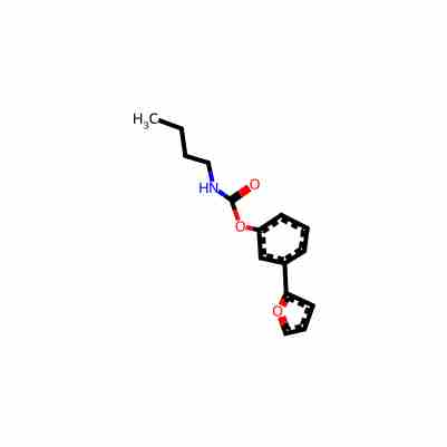 CCCCNC(=O)Oc1cccc(-c2ccco2)c1